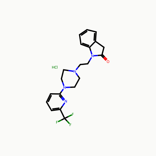 Cl.O=C1Cc2ccccc2N1CCN1CCN(c2cccc(C(F)(F)F)n2)CC1